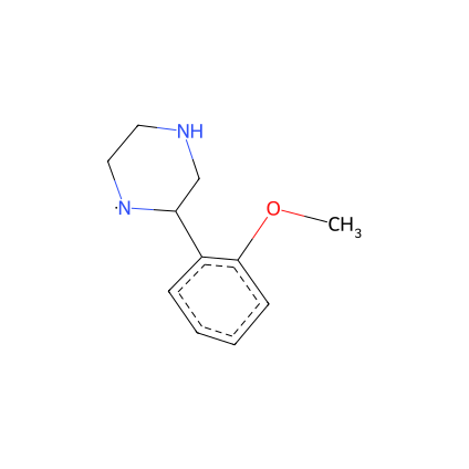 COc1ccccc1C1CNCC[N]1